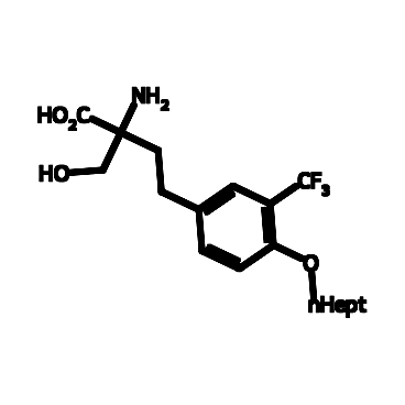 CCCCCCCOc1ccc(CCC(N)(CO)C(=O)O)cc1C(F)(F)F